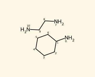 NC1CCCCC1.NCCN